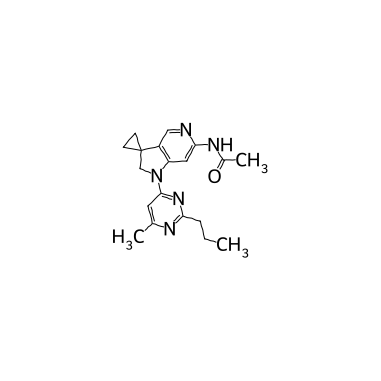 CCCc1nc(C)cc(N2CC3(CC3)c3cnc(NC(C)=O)cc32)n1